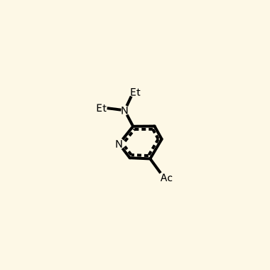 CCN(CC)c1ccc(C(C)=O)cn1